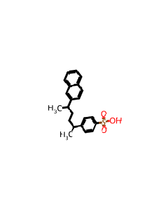 CC(CCC(C)c1ccc2ccccc2c1)c1ccc(S(=O)(=O)O)cc1